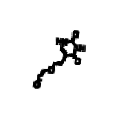 O=C=COC=Cc1c[nH]c(=O)[nH]c1=O